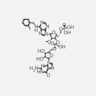 COC1C(OP(=O)(O)OC[C@H]2O[C@@H](n3cnc4c(=O)[nH]c(N)nc43)C(O)C2O)[C@@H](COP(=O)(O)O)O[C@H]1n1cnc2c(NCc3ccccc3C)ncnc21